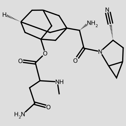 CNC(CC(N)=O)C(=O)OC12CC3C[C@H](C1)CC([C@H](N)C(=O)N1C4CC4C[C@H]1C#N)(C3)C2